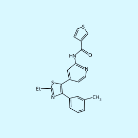 CCc1nc(-c2cccc(C)c2)c(-c2ccnc(NC(=O)c3ccsc3)c2)s1